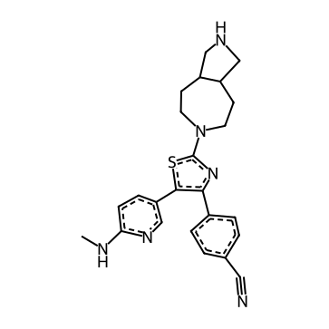 CNc1ccc(-c2sc(N3CCC4CNCC4CC3)nc2-c2ccc(C#N)cc2)cn1